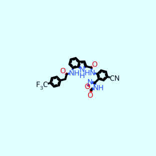 N#Cc1ccc(NC(=O)c2cc3cccc(NC(=O)Cc4ccc(C(F)(F)F)cc4)c3[nH]2)c(-c2noc(=O)[nH]2)c1